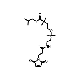 CC(C)CNC(=O)C(C)(C)CCOC(C)(C)CCNC(=O)CCN1C(=O)C=CC1=O